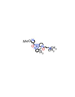 COc1cc(C(=O)Nc2nc3cccc(C)c3n2C2CCCCN(C(=O)C=CCN(C)C)C2)ccn1